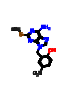 CCCCSc1nc(N)c2ncn(Cc3cc([N+](=O)[O-])ccc3O)c2n1